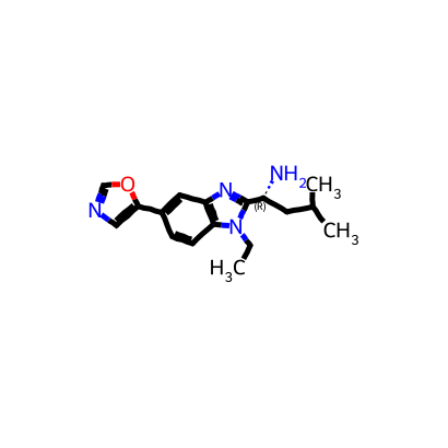 CCn1c([C@H](N)CC(C)C)nc2cc(-c3cnco3)ccc21